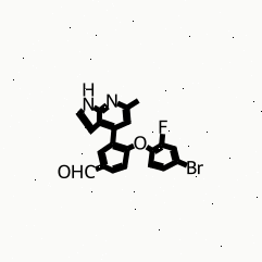 Cc1cc(-c2cc(C=O)ccc2Oc2ccc(Br)cc2F)c2cc[nH]c2n1